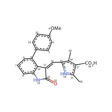 COc1ccc(-c2cccc3c2/C(=C/c2[nH]c(C)c(C(=O)O)c2C)C(=O)N3)cc1